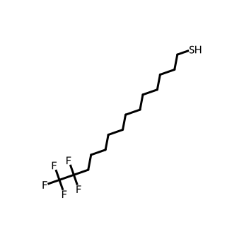 FC(F)(F)C(F)(F)CCCCCCCCCCCCS